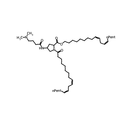 CCCCC/C=C\C/C=C\CCCCCCCCOC(=O)C1CC(NC(=O)CCCN(C)C)CN1C(=O)CCCCCCC/C=C\C/C=C\CCCCC